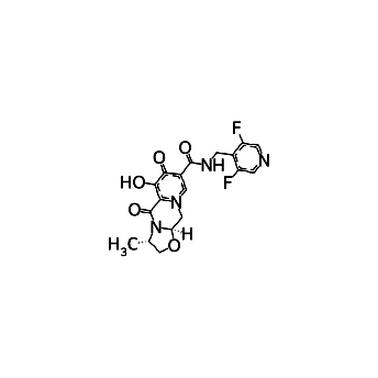 C[C@H]1CO[C@@H]2Cn3cc(C(=O)NCc4c(F)cncc4F)c(=O)c(O)c3C(=O)N12